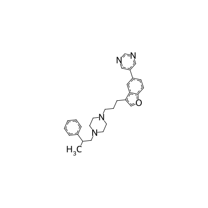 CC(CN1CCN(CCCc2coc3ccc(-c4cncnc4)cc23)CC1)c1ccccc1